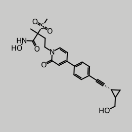 CC(CCn1ccc(-c2ccc(C#C[C@@H]3CC3CO)cc2)cc1=O)(C(=O)NO)S(C)(=O)=O